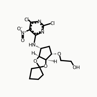 O=[N+]([O-])c1c(Cl)nc(Cl)nc1N[C@@H]1C[C@H](OCCO)[C@H]2OC3(CCCC3)O[C@H]21